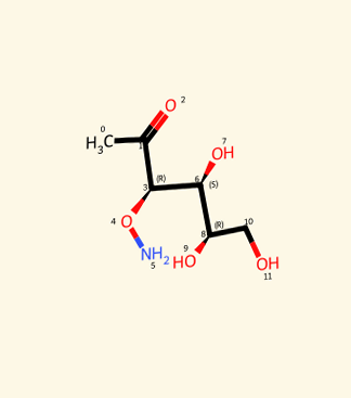 CC(=O)[C@H](ON)[C@@H](O)[C@H](O)CO